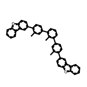 Cc1cc(-c2cccc(-c3ccc(-c4ccc5oc6ccccc6c5c4)c(C)c3)c2C)ccc1-c1ccc2oc3ccccc3c2c1